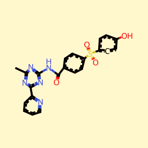 Cc1nc(NC(=O)c2ccc(S(=O)(=O)c3ccc(O)cc3)cc2)nc(-c2ccccn2)n1